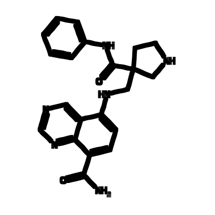 NC(=O)c1ccc(NCC2(C(=O)Nc3ccccc3)CCNC2)c2cncnc12